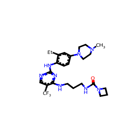 CCc1cc(N2CCN(C)CC2)ccc1Nc1ncc(C(F)(F)F)c(NCCCNC(=O)N2CCC2)n1